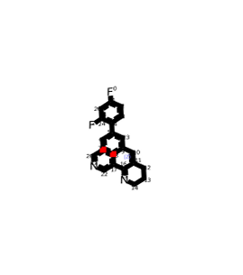 Fc1ccc(-c2cccc(/C=C3/CCCN=C3c3cccnc3)c2)c(F)c1